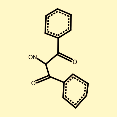 O=NC(C(=O)c1ccccc1)C(=O)c1ccccc1